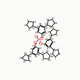 O=P(Oc1cc(C2CCCC2)cc(C2CCCC2)c1)(Oc1cc(C2CCCC2)cc(C2CCCC2)c1)Oc1cc(C2CCCC2)cc(C2CCCC2)c1